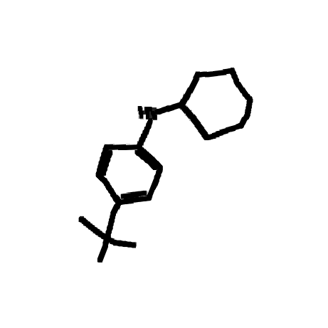 CC(C)(C)c1ccc(NC2CCCCC2)cc1